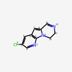 Clc1cnc2c(c1)cc1n2CCN=C1